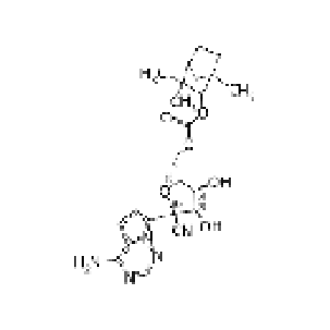 CC12CCC(C1)C(C)(C)C2OC(=O)OC[C@H]1O[C@@](C#N)(c2ccc3c(N)ncnn23)[C@H](O)[C@@H]1O